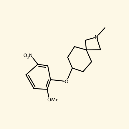 COc1ccc([N+](=O)[O-])cc1OC1CCC2(CC1)CN(C)C2